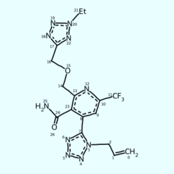 C=CCn1nnnc1-c1cc(C(F)(F)F)nc(COCc2nnn(CC)n2)c1C(N)=O